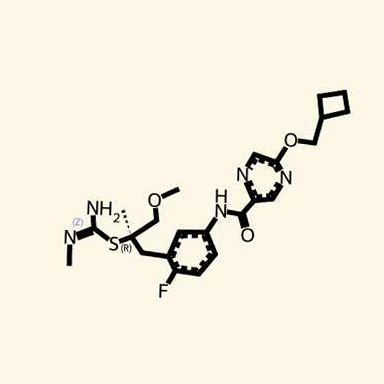 C/N=C(/N)S[C@@](C)(COC)Cc1cc(NC(=O)c2cnc(OCC3CCC3)cn2)ccc1F